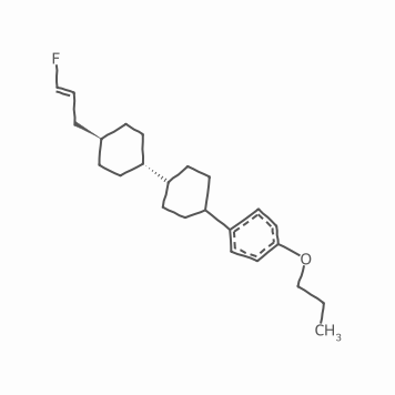 CCCOc1ccc(C2CCC([C@H]3CC[C@H](C/C=C/F)CC3)CC2)cc1